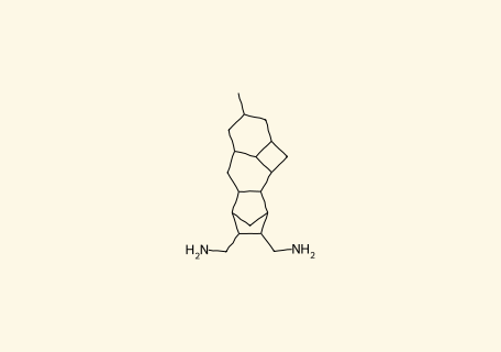 CC1CC2CC3C4CC(C(CN)C4CN)C3C3CC(C1)C23